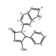 O=C1[C]=C(O)C(c2ccccc2)N1c1ccc2cn[nH]c2c1